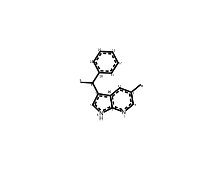 Cc1cnc2[nH]cc(C(C)c3ccccc3)c2c1